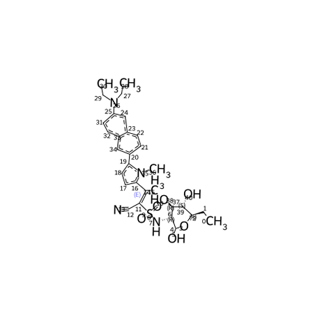 CC[C@H]1OC(O)[C@H](NS(=O)(=O)/C(C#N)=C(\C)c2ccc(-c3ccc4cc(N(CC)CC)ccc4c3)n2C)[C@@H](O)[C@@H]1O